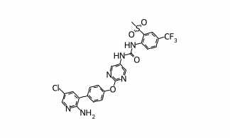 CS(=O)(=O)c1cc(C(F)(F)F)ccc1NC(=O)Nc1cnc(Oc2ccc(-c3cc(Cl)cnc3N)cc2)nc1